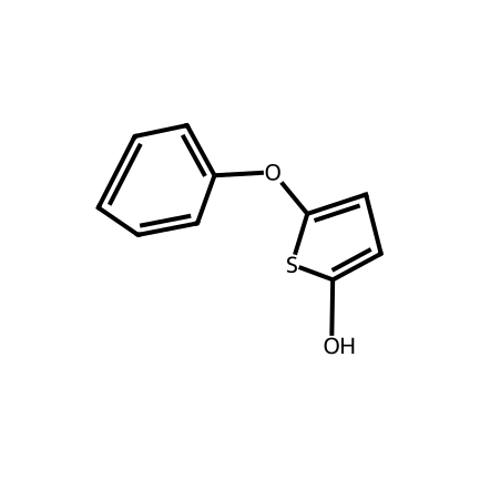 Oc1ccc(Oc2ccccc2)s1